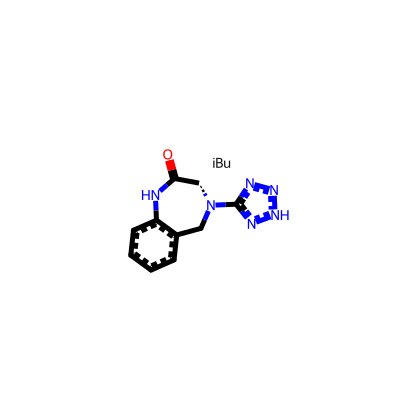 CC[C@H](C)[C@H]1C(=O)Nc2ccccc2CN1c1nn[nH]n1